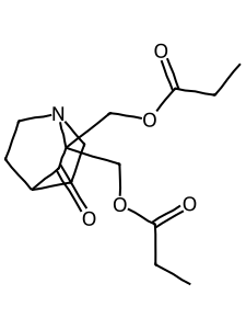 CCC(=O)OCC1(COC(=O)CC)C(=O)C2CCN1CC2